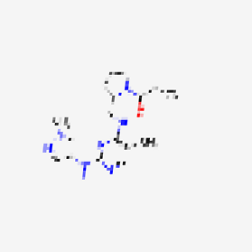 Cc1cnc(Nc2cnn(C)c2)nc1NCC1CCCN1C(=O)CC#N